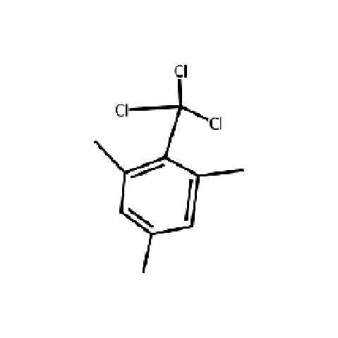 Cc1cc(C)c(C(Cl)(Cl)Cl)c(C)c1